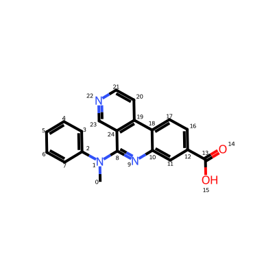 CN(c1ccccc1)c1nc2cc(C(=O)O)ccc2c2ccncc12